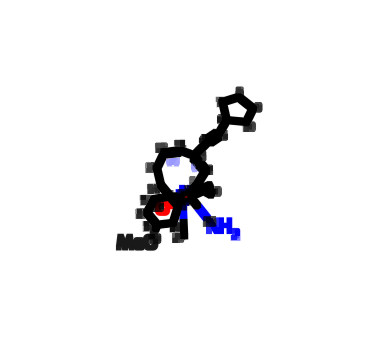 C=C1/C=C(C#CC2CCCC2)\C=C/CCC2(CCC(OC)CC2)C12N=C(N)N(C)C2=O